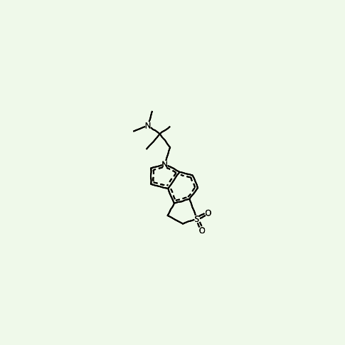 CN(C)C(C)(C)Cn1ccc2c3c(ccc21)S(=O)(=O)CC3